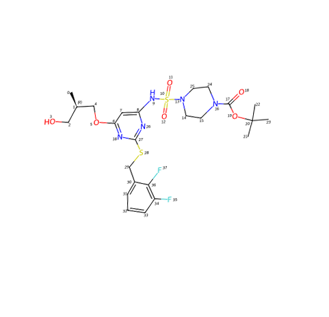 C[C@H](CO)COc1cc(NS(=O)(=O)N2CCN(C(=O)OC(C)(C)C)CC2)nc(SCc2cccc(F)c2F)n1